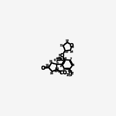 CC(C)(C)[C@@]1(c2cc(F)ccc2OC2CCOC2)CC(=O)CN1C(=O)O